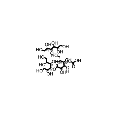 O=C(O)O.OC[C@@H](O)[C@@H](O)[C@H](O)[C@@H](O)CO.OC[C@@H](O)[C@@H](O[C@H]1O[C@H](CO)[C@@H](O)[C@H](O)[C@H]1O)[C@H](O)[C@@H](O)CO